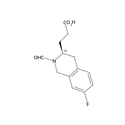 O=CN1Cc2cc(F)ccc2C[C@@H]1CCC(=O)O